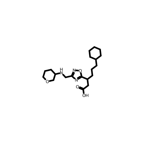 O=C(O)CC(CCCC1CCCCC1)c1nc(CNC2CCCOC2)no1